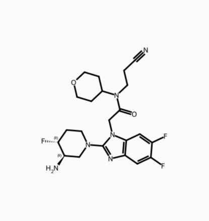 N#CCCN(C(=O)Cn1c(N2CC[C@@H](F)[C@H](N)C2)nc2cc(F)c(F)cc21)C1CCOCC1